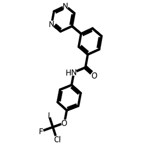 O=C(Nc1ccc(OC(F)(Cl)I)cc1)c1cccc(-c2cncnc2)c1